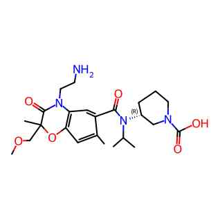 COCC1(C)Oc2cc(C)c(C(=O)N(C(C)C)[C@@H]3CCCN(C(=O)O)C3)cc2N(CCN)C1=O